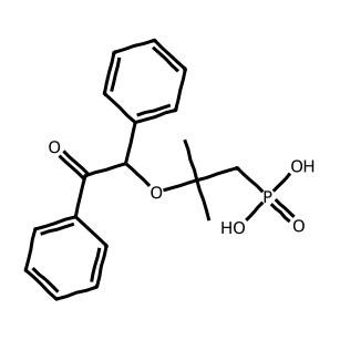 CC(C)(CP(=O)(O)O)OC(C(=O)c1ccccc1)c1ccccc1